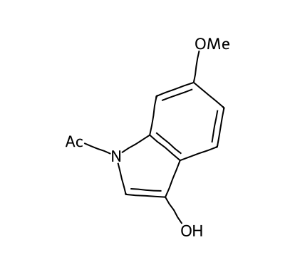 COc1ccc2c(O)cn(C(C)=O)c2c1